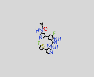 O=C(Nc1cncc(-c2cc(F)c3[nH]nc(-c4nc5c(-c6ccc(F)s6)ccnc5[nH]4)c3c2)c1)C1CC1